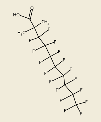 CC(C)(C(=O)O)C(F)(F)C(F)(F)C(F)(F)C(F)(F)C(F)(F)C(F)(F)C(F)(F)C(F)(F)F